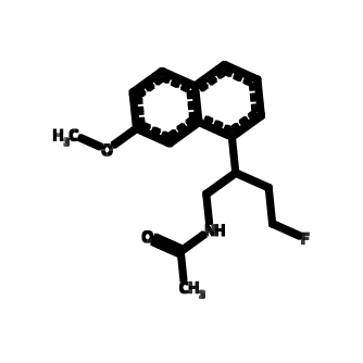 COc1ccc2cccc(C(CCF)CNC(C)=O)c2c1